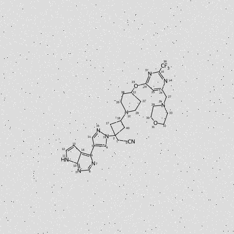 N#CCC1(n2cc(-c3ncnc4[nH]ccc34)cn2)CC(N2CCC(Oc3cc(CN4CCOCC4)nc(C(F)(F)F)n3)CC2)C1